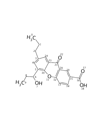 CCCc1cc(C(O)CC)c2oc3ccc(C(=O)O)cc3c(=O)c2c1